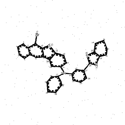 Brc1c2ccccc2cc2c1sc1ccc(N(c3ccccc3)c3cccc(-c4nc5ccccc5s4)c3)cc12